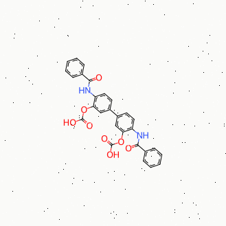 O=C(O)Oc1cc(-c2ccc(NC(=O)c3ccccc3)c(OC(=O)O)c2)ccc1NC(=O)c1ccccc1